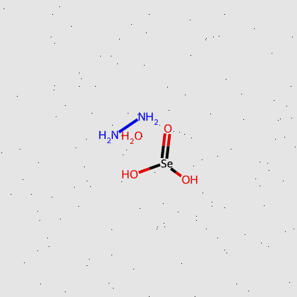 NN.O.O=[Se](O)O